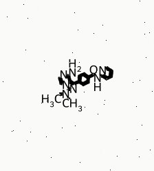 CCN(CC)c1nc(-c2ccc(C(=O)Nc3ccccn3)cc2)c2c(N)nccn12